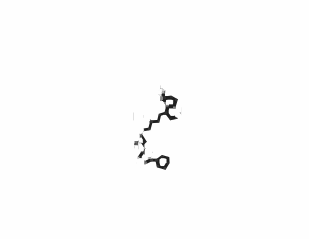 COc1ccc2nccc(CC[C@@H](O)CC[C@@H]3CN(C4=COC=C(C5=CC=CCC5)O4)C(=O)O3)c2n1